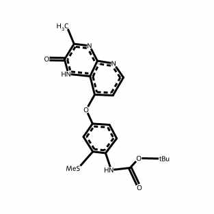 CSc1cc(Oc2ccnc3nc(C)c(=O)[nH]c23)ccc1NC(=O)OC(C)(C)C